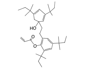 C=CC(=O)Oc1c(CCC2(O)C=C(C(C)(C)CC)C=C(C(C)(C)CC)C2)cc(C(C)(C)CC)cc1C(C)(C)CC